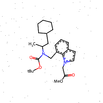 COC(=O)Cn1ccc2cccc(CN(C(=O)OC(C)(C)C)C(C)CC3CCCCC3)c21